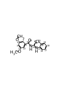 COc1cc(OC)cc(C(=O)NC(=S)Nc2ccccc2Cl)c1